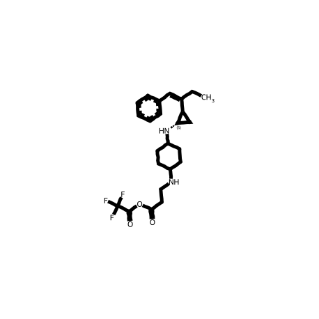 CCC(=Cc1ccccc1)C1C[C@@H]1NC1CCC(NCCC(=O)OC(=O)C(F)(F)F)CC1